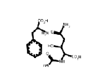 CCCC(=O)NC(C(=O)O)C(O)CC(N)=O.NC(Cc1ccccc1)C(=O)O